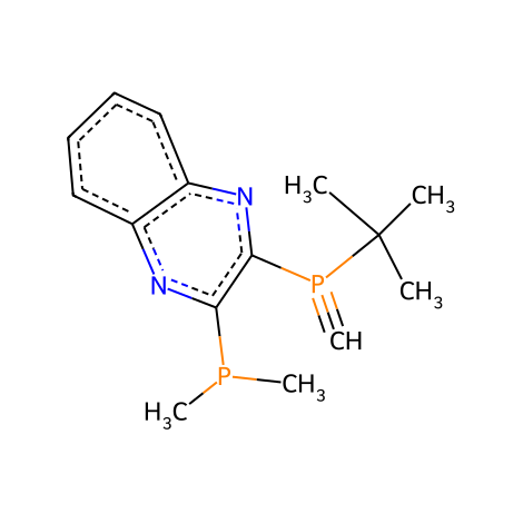 C#P(c1nc2ccccc2nc1P(C)C)C(C)(C)C